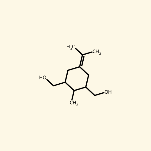 CC(C)=C1CC(CO)C(C)C(CO)C1